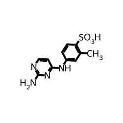 Cc1cc(Nc2ccnc(N)n2)ccc1S(=O)(=O)O